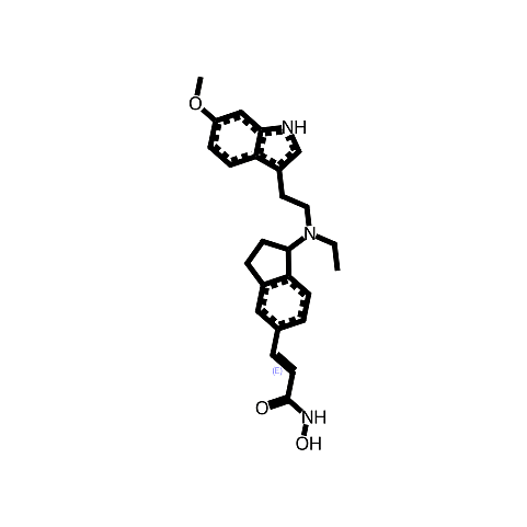 CCN(CCc1c[nH]c2cc(OC)ccc12)C1CCc2cc(/C=C/C(=O)NO)ccc21